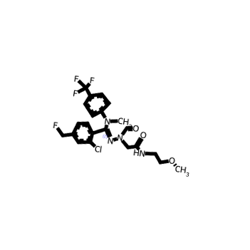 COCCNC(=O)CN(C=O)/N=C(/c1ccc(CF)cc1Cl)N(C)c1ccc(C(F)(F)F)cc1